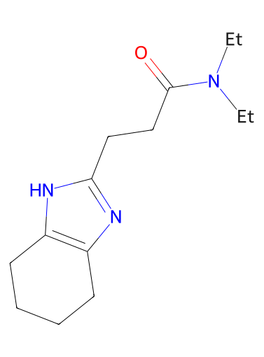 CCN(CC)C(=O)CCc1nc2c([nH]1)CCCC2